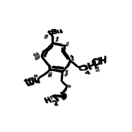 CC(C)(C)c1cc(O)c(CN)c(C(C)(C)C)c1.Cl